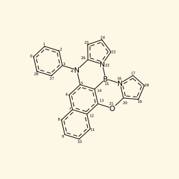 c1ccc(N2c3cc4ccccc4c4c3B(n3cccc3O4)n3cccc32)cc1